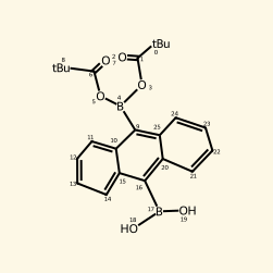 CC(C)(C)C(=O)OB(OC(=O)C(C)(C)C)c1c2ccccc2c(B(O)O)c2ccccc12